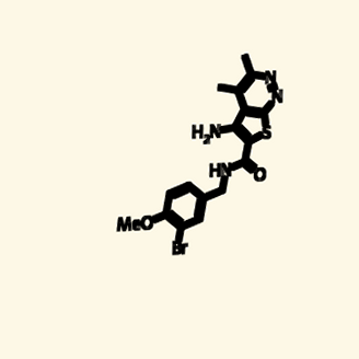 COc1ccc(CNC(=O)c2sc3nnc(C)c(C)c3c2N)cc1Br